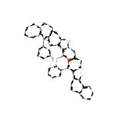 c1cc(-c2cccc3ccccc23)cc(N(c2ccccc2-c2cccc3oc4c5ccccc5ccc4c23)c2cccc3oc4ccccc4c23)c1